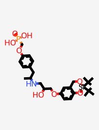 CC(Cc1ccc(OCP(=O)(O)O)cc1)NCC(O)COc1ccc2c(c1)CO[Si](C(C)(C)C)(C(C)(C)C)O2